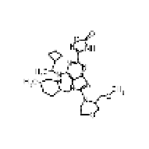 COCC1COCCN1c1nc2nc(-c3noc(=O)[nH]3)nc(N[C@H](C)C3CCC3)c2n1CC1CCC(C)CC1